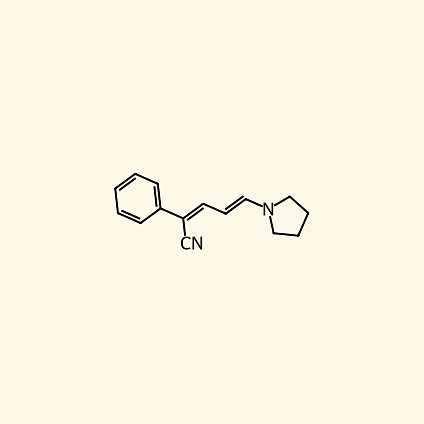 N#CC(=CC=CN1CCCC1)c1ccccc1